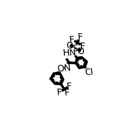 C/C(=N\Oc1cccc(C(F)(F)F)c1)c1cc(Cl)ccc1NS(=O)(=O)C(F)(F)F